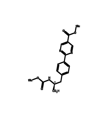 CC(C)(C)OC(=O)N[C@@H](Cc1ccc(-c2ncc(C(=O)OC(C)(C)C)cn2)cc1)C(=O)O